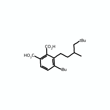 CCC(C)c1ccc(C(=O)O)c(C(=O)O)c1CCC(C)CC(C)(C)C